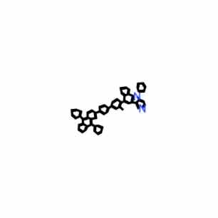 Cc1cc(-c2ccc(-c3ccc4c(-c5ccccc5)c5ccccc5c(-c5ccccc5)c4c3)cc2)ccc1-c1cc2c3cnccc3n(-c3ccccc3)c2c2ccccc12